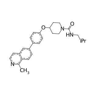 Cc1nccc2cc(-c3ccc(OC4CCN(C(=O)NCC(C)C)CC4)cc3)ccc12